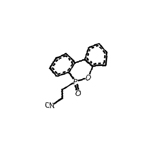 [C-]#[N+]CCP1(=O)Oc2ccccc2-c2ccccc21